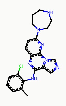 Cc1cccc(Cl)c1Nc1nc2ccc(N3CCCNCC3)nc2n2cncc12